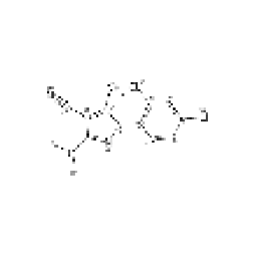 CC(C)c1nn(-c2ncc(Cl)cc2Cl)c(N)c1C#N